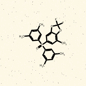 Cc1cc(C)cc(P(=O)(c2cc(C)cc(C)c2)c2cc(C)c3c(c2)OC(F)(F)O3)c1